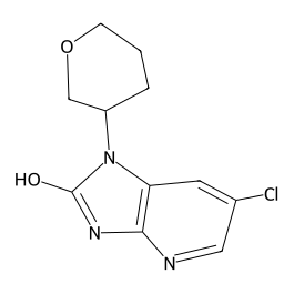 Oc1nc2ncc(Cl)cc2n1C1CCCOC1